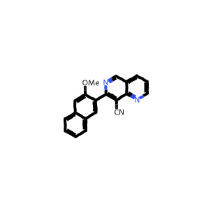 COc1cc2ccccc2cc1-c1ncc2cccnc2c1C#N